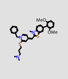 COc1cccc(OC)c1-c1ccc2c(c1)sc(C=C1C=CN(Cc3ccccc3)C(SCCCN(C)C)=C1)[n+]2C